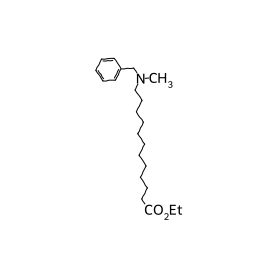 CCOC(=O)CCCCCCCCCCCN(C)Cc1ccccc1